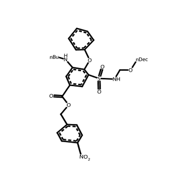 CCCCCCCCCCOCNS(=O)(=O)c1cc(C(=O)OCc2ccc([N+](=O)[O-])cc2)cc(NCCCC)c1Oc1ccccc1